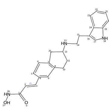 O=C(/C=C/c1ccc2c(c1)CCC(NCCc1c[nH]c3ccccc13)C2)NO